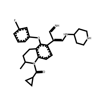 CC1CCc2c(ccc(/C(C=N)=C/NC3CCNCC3)c2Oc2cccc(F)c2)N1C(=O)C1CC1